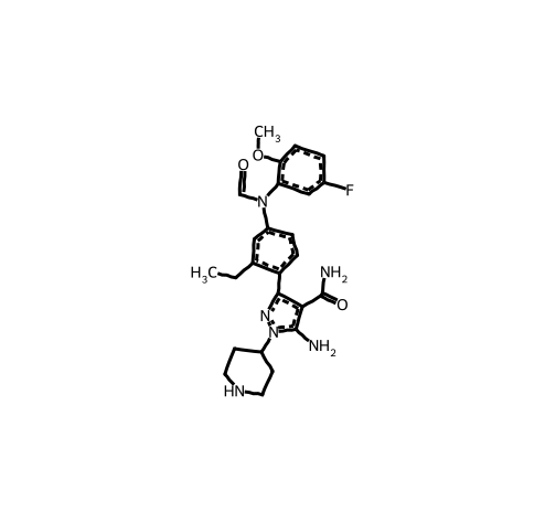 CCc1cc(N(C=O)c2cc(F)ccc2OC)ccc1-c1nn(C2CCNCC2)c(N)c1C(N)=O